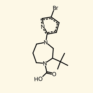 CC(C)(C)C1CN(c2ccc(Br)cn2)CCCN1C(=O)O